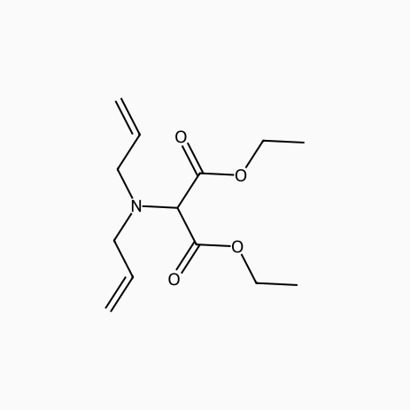 C=CCN(CC=C)C(C(=O)OCC)C(=O)OCC